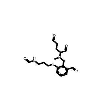 CN(Cc1c(C=O)cccc1SCCCNC=O)C(C=O)CCC=O